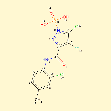 Cc1ccc(NC(=O)c2nn(P(=O)(O)O)c(Cl)c2F)c(Cl)c1